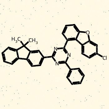 CC1(C)c2ccccc2-c2ccc(-c3nc(-c4ccccc4)nc(-c4cccc5oc6cc(Cl)ccc6c45)n3)cc21